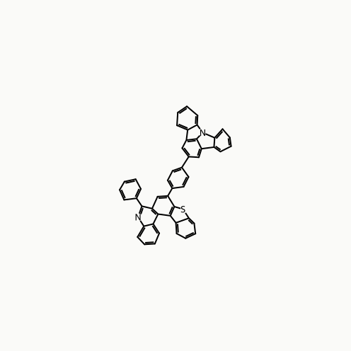 c1ccc(-c2nc3ccccc3c3c2cc(-c2ccc(-c4cc5c6ccccc6n6c7ccccc7c(c4)c56)cc2)c2sc4ccccc4c23)cc1